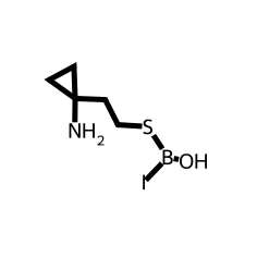 NC1(CCSB(O)I)CC1